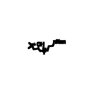 CCCCCCCCCCCC[N+](C)(C)CC(O)C[N+](C)(C)C